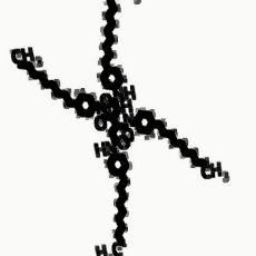 CCCCCCCCCCC1CCC(NC(=O)CC(C(=O)NC2CCC(CCCCCCCCCC)CC2)C(CC(=O)NC2CCC(CCCCCCCCCC)CC2)C(=O)NC2CCC(CCCCCCCCCC)CC2)CC1